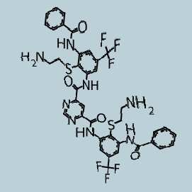 NCCSc1c(NC(=O)c2ccccc2)cc(C(F)(F)F)cc1NC(=O)c1cc(C(=O)Nc2cc(C(F)(F)F)cc(NC(=O)c3ccccc3)c2SCCN)ncn1